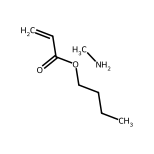 C=CC(=O)OCCCC.CN